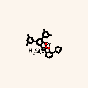 CC1=Cc2c(-c3cc(C)cc(C)c3)cc(-c3cc(C)cc(C)c3)cc2[CH]1[Zr]([CH3])([CH3])(=[SiH2])[CH]1C(C(C)C)=Cc2c(-c3ccccc3)cccc21